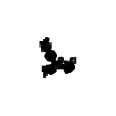 Cn1nnc(-c2ccc(C(C(=O)Nc3cccc(Cl)n3)C3CCC(F)(F)C3)cc2)n1